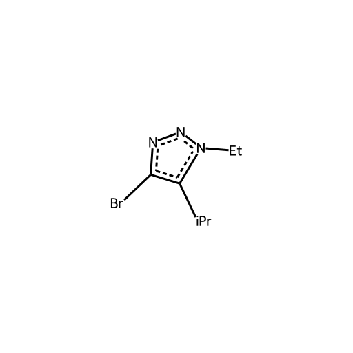 CCn1nnc(Br)c1C(C)C